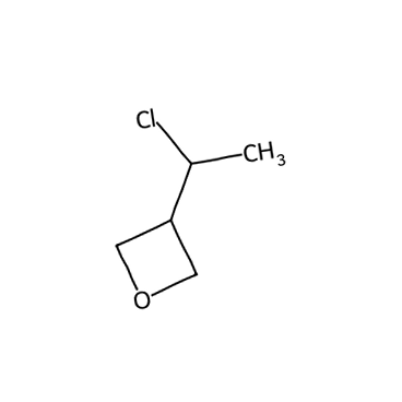 CC(Cl)C1COC1